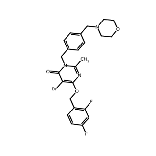 Cc1nc(OCc2ccc(F)cc2F)c(Br)c(=O)n1Cc1ccc(CN2CCOCC2)cc1